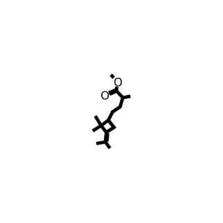 COC(=O)C(C)CCC1CC(=C(C)C)C1(C)C